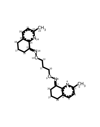 Cc1ccc2c(n1)/C(=N/OCCCO/N=C1\CCCc3ccc(C)nc31)CCC2